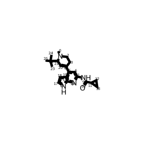 CN1CCC(c2cc(NC(=O)C3CC3)nc3[nH]ccc23)=CC1C(C)(C)C